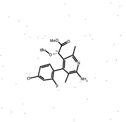 COC(=O)[C@@H](OC(C)(C)C)c1c(C)nc(N)c(C)c1-c1ccc(Cl)cc1F